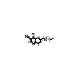 CCOOCc1ccc2ncc(C#N)c(Cl)c2c1